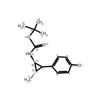 C[C@H]1C(c2ccc(Cl)cc2)[C@@H]1NC(=O)OC(C)(C)C